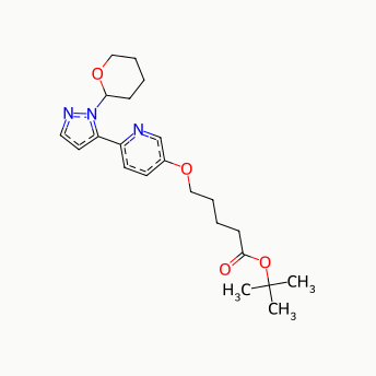 CC(C)(C)OC(=O)CCCCOc1ccc(-c2ccnn2C2CCCCO2)nc1